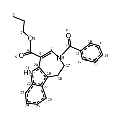 CCCOC(=O)C1=CN(C(=O)c2ccccc2)CCc2c1[nH]c1ccccc21